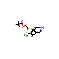 CC(C)(C)C(=O)OCCSc1c(Cl)ccc2c1CCNCC2.Cl